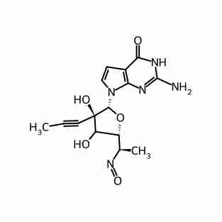 CC#C[C@@]1(O)C(O)[C@@H]([C@@H](C)N=O)O[C@H]1n1ccc2c(=O)[nH]c(N)nc21